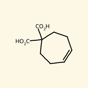 O=C(O)C1(C(=O)O)CCC=CCC1